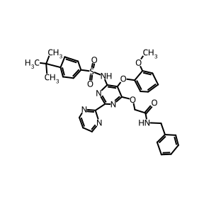 COc1ccccc1Oc1c(NS(=O)(=O)c2ccc(C(C)(C)C)cc2)nc(-c2ncccn2)nc1OCC(=O)NCc1ccccc1